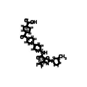 CC1CCCN(c2nc(C(F)(F)F)c(C(=O)Nc3ccc(N4CCN(C(=O)C5CCC(C(=O)O)CC5)CC4)cn3)o2)C1